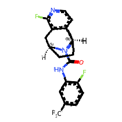 O=C(Nc1cc(C(F)(F)F)ccc1F)N1[C@H]2CC[C@@H]1c1ccnc(F)c1C2